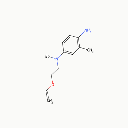 C=COCCN(CC)c1ccc(N)c(C)c1